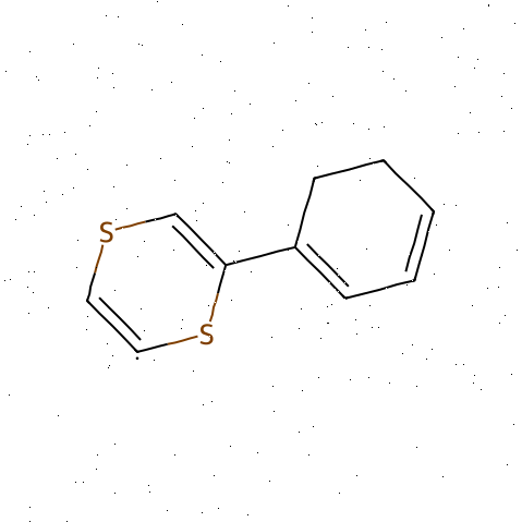 [C]1=CSC=C(C2=CC=CCC2)S1